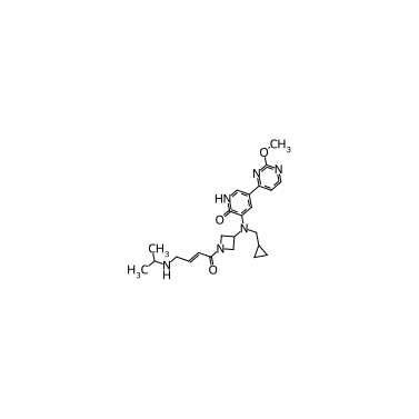 COc1nccc(-c2c[nH]c(=O)c(N(CC3CC3)C3CN(C(=O)C=CCNC(C)C)C3)c2)n1